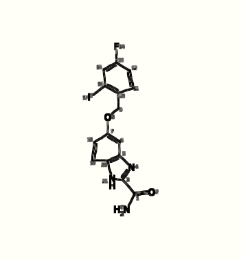 NC(=O)c1nc2cc(OCc3ccc(F)cc3F)ccc2[nH]1